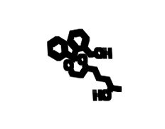 CC(O)CCCC1CCOC(c2ccccc2)(c2ccccc2CO)O1